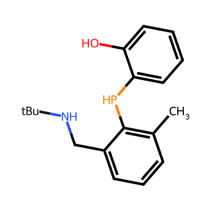 Cc1cccc(CNC(C)(C)C)c1Pc1ccccc1O